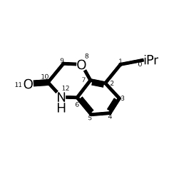 CC(C)Cc1cccc2c1OCC(=O)N2